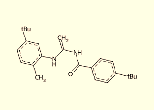 C=C(NC(=O)c1ccc(C(C)(C)C)cc1)Nc1cc(C(C)(C)C)ccc1C